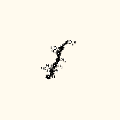 Cc1cc(N=Nc2cc(C)c(N=Nc3c(S(=O)(=O)O)cc4cc(Nc5ccccc5)ccc4c3O)cc2C)ccc1N=Nc1ccc(N=Nc2ccc(OCCCCS(=O)(=O)O)cc2S(=O)(=O)O)c(C)c1